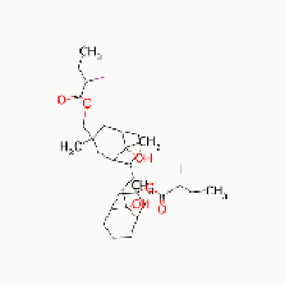 CCC(I)C(=O)OCC1(C)CC2CCC(CCC3(O)C4CCCC3CC(C)(OC(=O)C(I)CC)C4)C(C1)C2(C)O